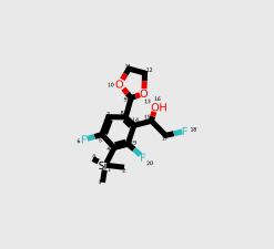 C[Si](C)(C)c1c(F)cc(C2OCCO2)c(C(O)CF)c1F